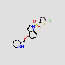 O=S(=O)(c1ccc(Cl)s1)n1ccc2c(OCC3CCCCN3)cccc21